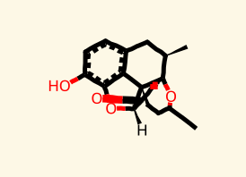 CC1CC[C@]23c4c5ccc(O)c4O[C@H]2C(=O)CC[C@@]3(O1)[C@H](C)C5